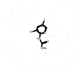 CCc1cc(F)cnc1NC(=O)OC